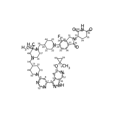 CC1(Oc2cc3c(-c4cc(N5CCC(CN6CCN(CC7CCN(c8ccc9c(c8F)CN(C8CCC(=O)NC8=O)C9=O)CC7)C(C)(C)C6)CC5)ncn4)n[nH]c3cn2)CC1